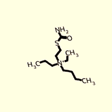 CCCC[N+](CC)(CCC)CCSC(N)=O